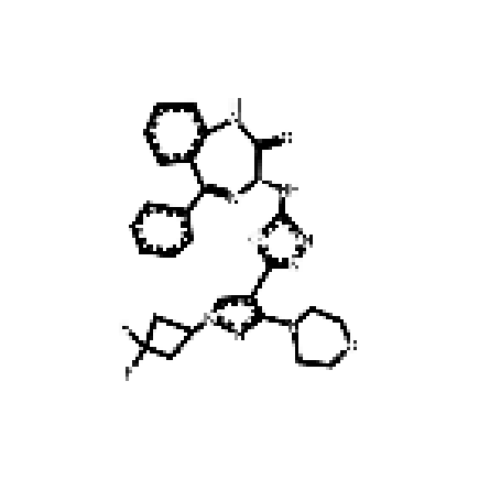 O=C1Nc2ccccc2C(c2ccccc2)=N[C@@H]1Nc1nnc(-c2cn(C3CC(F)(F)C3)nc2N2CCOCC2)o1